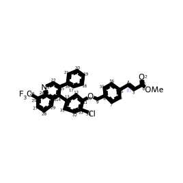 COC(=O)/C=C/c1ccc(COc2cc(-c3c(-c4ccccc4)cnc4c(C(F)(F)F)cccc34)ccc2Cl)cc1